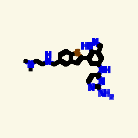 CN(C)CCNCc1ccc2sc(-c3cc(Nc4ccnc(N)n4)cc4cn[nH]c34)cc2c1